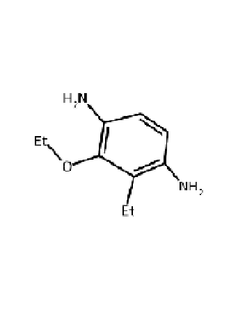 CCOc1c(N)ccc(N)c1CC